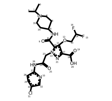 CC(C)N1CCC(NC(=O)c2c(OCC(F)F)c(C(=O)O)nn2CC(=O)Nc2ccc(Cl)cn2)CC1